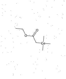 CCOC(=O)[CH2][Ge]([CH3])([CH3])[CH3]